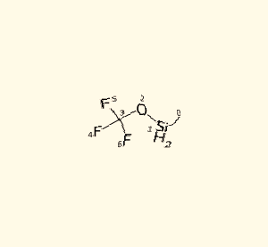 C[SiH2]OC(F)(F)F